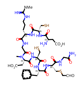 CNC(=N)NCCC[C@H](NC(=O)[C@H](CS)NC(=O)[C@@H](N)CC(=O)O)C(=O)NCC(=O)N(C)[C@@H](CC(=O)O)C(=O)N[C@@H](CS)C(=O)N[C@@H](Cc1ccccc1)C(=O)N[C@@H](CSCC=O)C(=O)NCC(N)=O